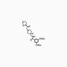 COc1cc(OC)cc(C(=O)NCC2(F)CCN(CC(=O)N3CCOC[C@H]3C)CC2)c1